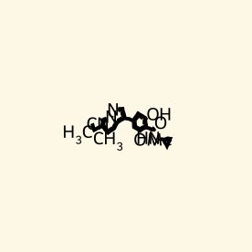 COc1cc(-c2cnn3cc(C(C)(C)C#N)ccc23)cc(O)c1C(=O)NC1CC1